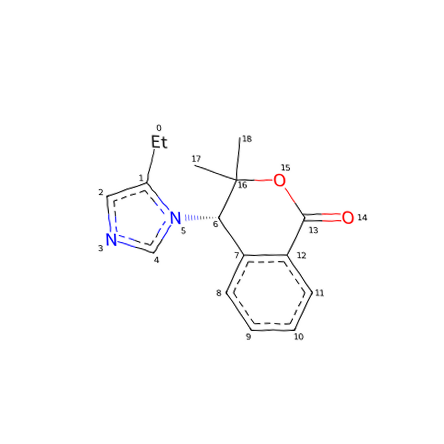 CCc1cncn1[C@H]1c2ccccc2C(=O)OC1(C)C